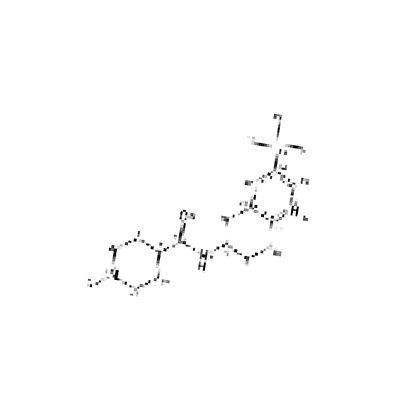 CN1CCC(C(=O)NC2CCc3ncc(C(C)(C)C)cc3C2)CC1